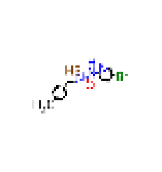 Cc1ccc(CCN(S)C(=O)Nc2ccc(Br)cn2)cc1